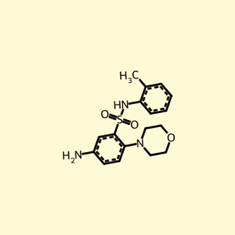 Cc1ccccc1NS(=O)(=O)c1cc(N)ccc1N1CCOCC1